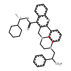 C[C@H](NC(=O)c1c(CN2CCN(CC(C(=O)O)c3ccccc3)CC2)c(-c2ccccc2)nc2ccccc12)C1CCCCC1